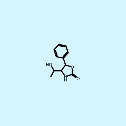 CC(O)C1NC(=O)OC1c1ccccc1